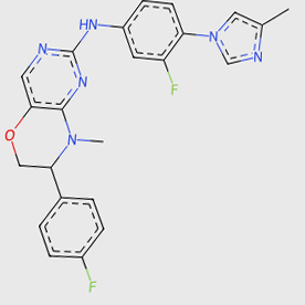 Cc1cn(-c2ccc(Nc3ncc4c(n3)N(C)C(c3ccc(F)cc3)CO4)cc2F)cn1